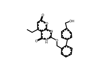 CCc1cc(=O)oc2nc(OCc3ccccc3-c3ccc(CO)cc3)[nH]c(=O)c12